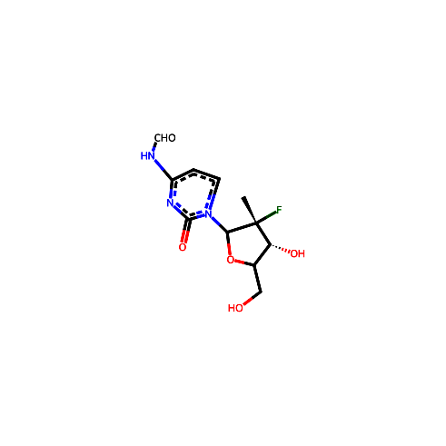 C[C@]1(F)C(n2ccc(NC=O)nc2=O)OC(CO)[C@H]1O